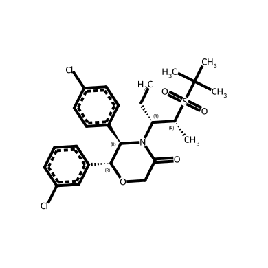 CC[C@H]([C@@H](C)S(=O)(=O)C(C)(C)C)N1C(=O)CO[C@H](c2cccc(Cl)c2)[C@H]1c1ccc(Cl)cc1